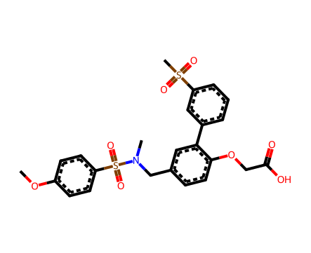 COc1ccc(S(=O)(=O)N(C)Cc2ccc(OCC(=O)O)c(-c3cccc(S(C)(=O)=O)c3)c2)cc1